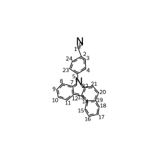 N#Cc1ccc(-n2c3ccccc3c3c4ccccc4ccc32)cc1